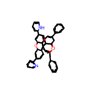 C1=CNC(C2=CC3OC4C=C(c5ccccn5)C=CC4C4(c5ccc(-c6ccccc6)cc5OC5CC(c6ccccc6)=CCC54)C3C=C2)C=C1